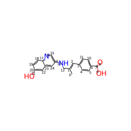 CC(=Cc1ccc(C(=O)O)cc1)CNc1cnc2ccc(O)cc2c1